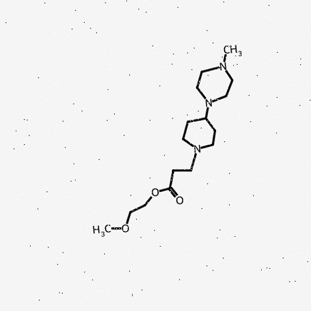 COCCOC(=O)CCN1CCC(N2CCN(C)CC2)CC1